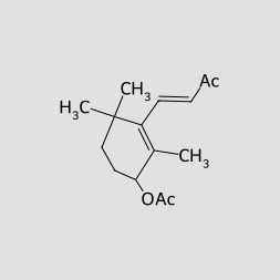 CC(=O)C=CC1=C(C)C(OC(C)=O)CCC1(C)C